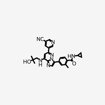 Cc1cc(-c2cnc3c(NCC(C)(C)O)cc(-c4cncc(C#N)c4)nn23)ccc1C(=O)NC1CC1